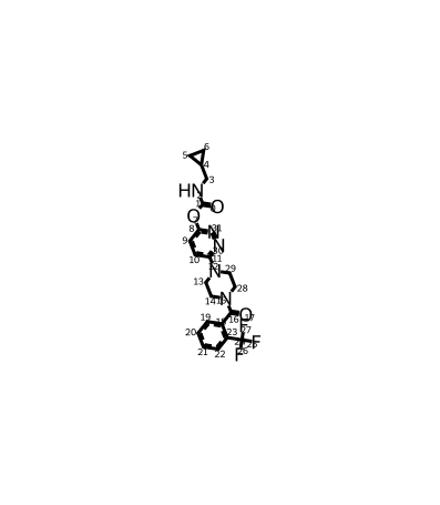 O=C(NCC1CC1)Oc1ccc(N2CCN(C(=O)c3ccccc3C(F)(F)F)CC2)nn1